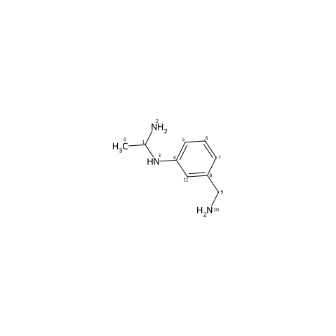 CC(N)Nc1cccc(CN)c1